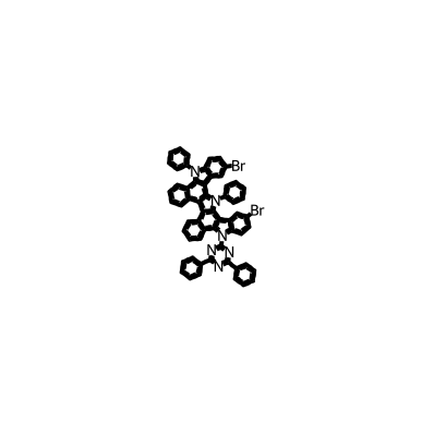 Brc1ccc2c(c1)c1c(c3ccccc3c3c4c5ccccc5c5c(c6cc(Br)ccc6n5-c5nc(-c6ccccc6)nc(-c6ccccc6)n5)c4n(-c4ccccc4)c31)n2-c1ccccc1